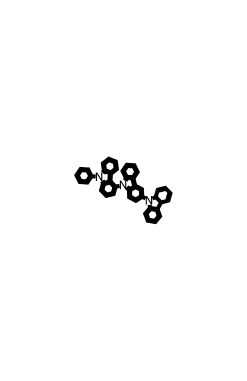 C1=CC2c3ccccc3N(c3ccc4c(c3)c3ccccc3n4-c3cccc4c3c3ccccc3n4-c3ccccc3)C2C=C1